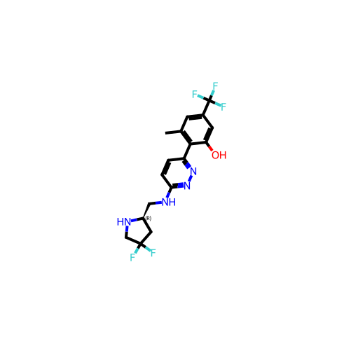 Cc1cc(C(F)(F)F)cc(O)c1-c1ccc(NC[C@H]2CC(F)(F)CN2)nn1